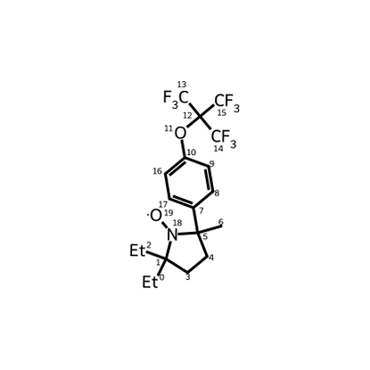 CCC1(CC)CCC(C)(c2ccc(OC(C(F)(F)F)(C(F)(F)F)C(F)(F)F)cc2)N1[O]